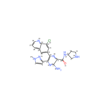 Cn1ccc(-c2nc(N)c(C(=O)NC3CCNC3)nc2-c2cc(Cl)c3ncccc3c2)n1